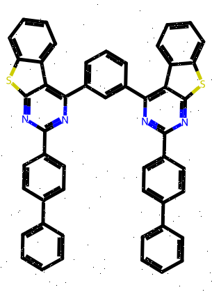 c1ccc(-c2ccc(-c3nc(-c4cccc(-c5nc(-c6ccc(-c7ccccc7)cc6)nc6sc7ccccc7c56)c4)c4c(n3)sc3ccccc34)cc2)cc1